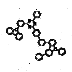 c1ccc(-c2ccc3c(c2)c2c(-c4cccc(-c5ccc(-c6nc(-c7ccccc7)nc(-c7cccc(-n8c9ccccc9c9ccccc98)c7)n6)cc5)c4)cccc2n3-c2ccccc2)cc1